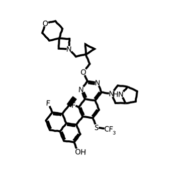 C#Cc1c(F)ccc2cc(O)cc(-c3c(SC(F)(F)F)cc4c(N5CC6CCC(C5)N6)nc(OCC5(CN6CC7(CCOCC7)C6)CC5)nc4c3F)c12